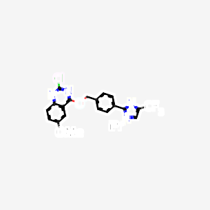 COc1ccc2nc(Cl)nc(OCc3ccc(-c4nc(C(F)(F)F)cn4C(C)C)cc3)c2c1